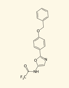 O=C(Nc1cnc(-c2ccc(OCc3ccccc3)cc2)o1)C(F)(F)F